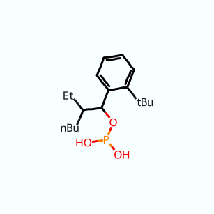 CCCCC(CC)C(OP(O)O)c1ccccc1C(C)(C)C